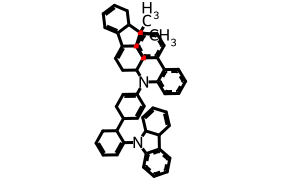 CC1(C)C2CC=CC=C2C2=CCC(N(C3=CCC(C4CC=CC=C4N4c5ccccc5C5C=CC=CC54)C=C3)c3ccccc3-c3ccccc3)CC21